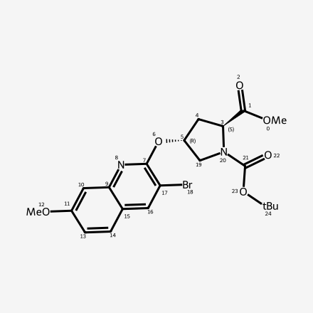 COC(=O)[C@@H]1C[C@@H](Oc2nc3cc(OC)ccc3cc2Br)CN1C(=O)OC(C)(C)C